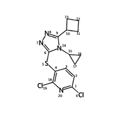 Clc1ccc(Sc2nnc(C3CCC3)n2C2CC2)c(Cl)n1